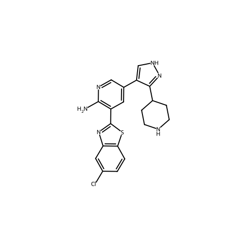 Nc1ncc(-c2c[nH]nc2C2CCNCC2)cc1-c1nc2cc(Cl)ccc2s1